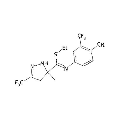 CCSC(=Nc1ccc(C#N)c(C(F)(F)F)c1)C1(C)CC(C(F)(F)F)=NN1